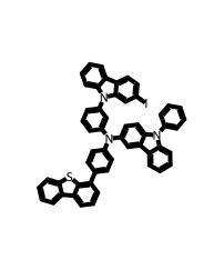 Ic1ccc2c3ccccc3n(-c3cccc(N(c4ccc(-c5cccc6c5sc5ccccc56)cc4)c4ccc5c(c4)c4ccccc4n5-c4ccccc4)c3)c2c1